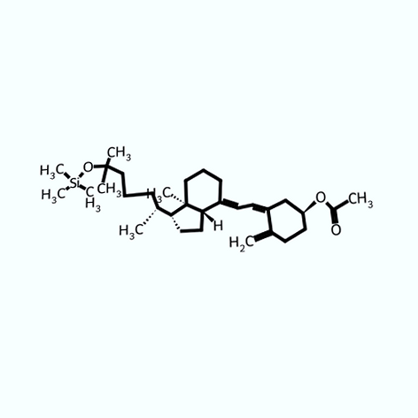 C=C1CC[C@H](OC(C)=O)C/C1=C/C=C1\CCC[C@]2(C)[C@@H]([C@H](C)CCCC(C)(C)O[Si](C)(C)C)CC[C@@H]12